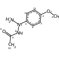 COc1ccc(N(N)NC(C)=O)cc1